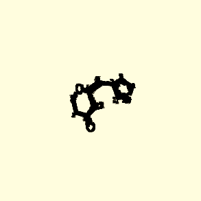 O=C1CCOC(=Cc2ccsc2)C1